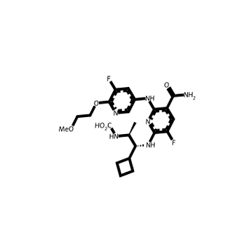 COCCOc1ncc(Nc2nc(N[C@H](C3CCC3)[C@H](C)NC(=O)O)c(F)cc2C(N)=O)cc1F